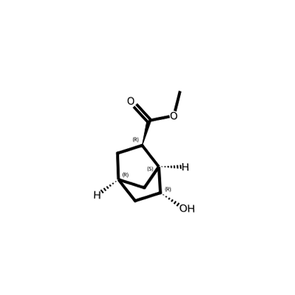 COC(=O)[C@@H]1C[C@H]2C[C@@H]1[C@H](O)C2